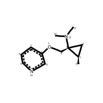 C[C@@H]1C[C@@]1(COc1cccnc1)N(C)C